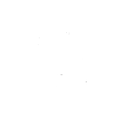 CCNC(=O)OCC1(COc2c(-c3ccc4c(c3)COC4=O)ccc(CC)c2OC)COC1